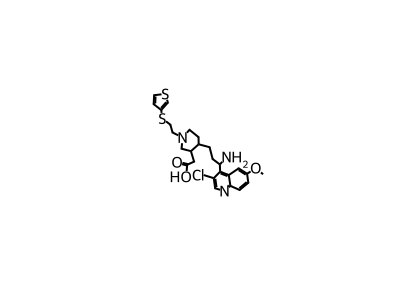 COc1ccc2ncc(Cl)c(C(N)CCC3CCN(CCSc4ccsc4)CC3CC(=O)O)c2c1